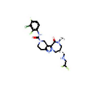 CN1C[C@H](CNCC(F)F)Cn2nc3c(c2C1=O)CN(C(=O)Nc1ccc(F)c(Cl)c1F)CC3